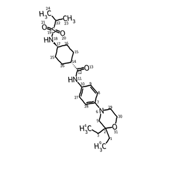 CCC1(CC)CN(c2ccc(NC(=O)[C@H]3CC[C@H](NS(=O)(=O)C(C)C)CC3)cc2)CCO1